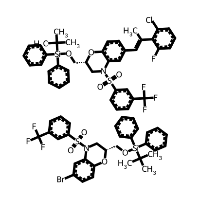 C/C(=C\c1ccc2c(c1)N(S(=O)(=O)c1cccc(C(F)(F)F)c1)C[C@H](CO[Si](c1ccccc1)(c1ccccc1)C(C)(C)C)O2)c1c(F)cccc1Cl.CC(C)(C)[Si](OC[C@H]1CN(S(=O)(=O)c2cccc(C(F)(F)F)c2)c2cc(Br)ccc2O1)(c1ccccc1)c1ccccc1